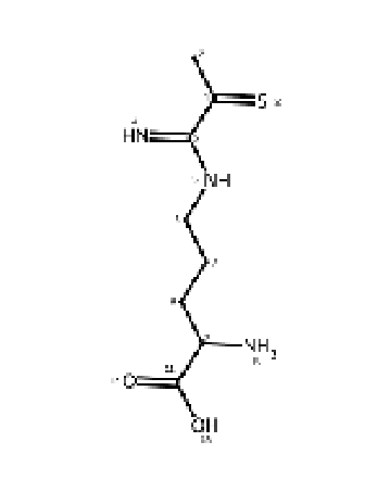 CC(=S)C(=N)NCCCC(N)C(=O)O